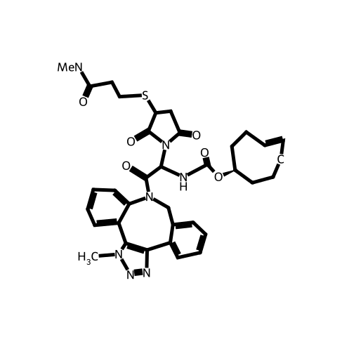 CNC(=O)CCSC1CC(=O)N(C(NC(=O)O[C@H]2CC/C=C/CCC2)C(=O)N2Cc3ccccc3-c3nnn(C)c3-c3ccccc32)C1=O